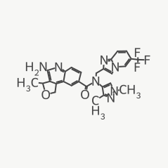 Cc1nn(C)cc1N(Cc1cn2cc(C(F)(F)F)ccc2n1)C(=O)c1ccc2nc(N)c3c(c2c1)COC3C